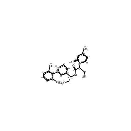 CCOC(=O)C[C@@H](NC(=O)C(CC(C)C)n1ccc(C)cc1=O)c1ccnc(-c2c(C)cccc2C)c1